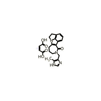 Cc1[nH]cnc1CN1CCCc2c(c3cccc4c3n2CC4)C1=O.O=C(O)/C=C\C(=O)O